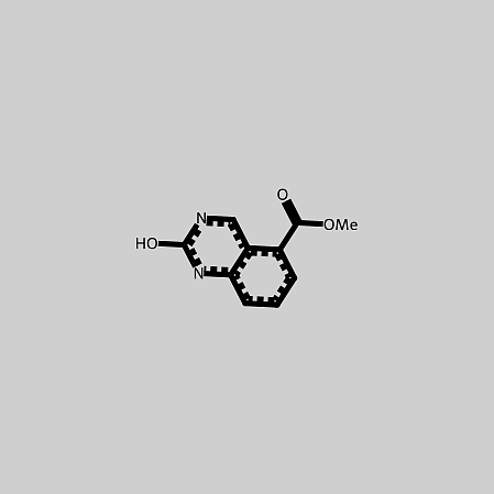 COC(=O)c1cccc2nc(O)ncc12